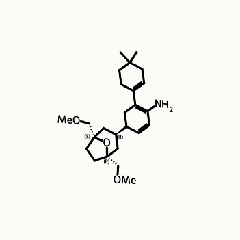 COC[C@@]12CC[C@@](COC)(C[C@@H](C3C=CC(N)=C(C4=CCC(C)(C)CC4)C3)C1)O2